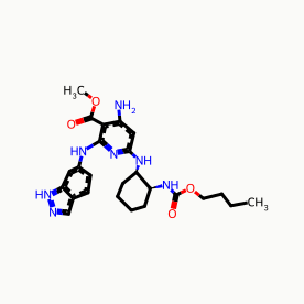 CCCCOC(=O)N[C@H]1CCCC[C@H]1Nc1cc(N)c(C(=O)OC)c(Nc2ccc3cn[nH]c3c2)n1